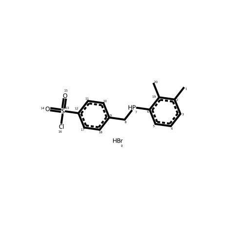 Br.Cc1cccc(PCc2ccc(S(=O)(=O)Cl)cc2)c1C